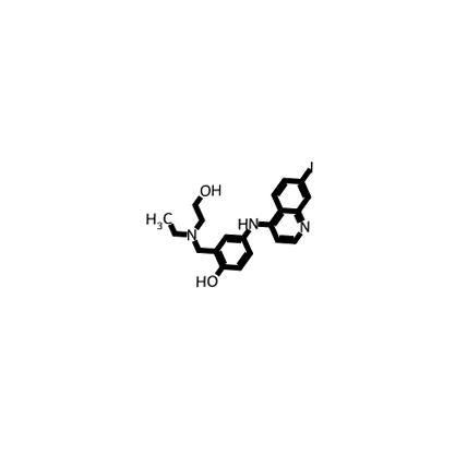 CCN(CCO)Cc1cc(Nc2ccnc3cc(I)ccc23)ccc1O